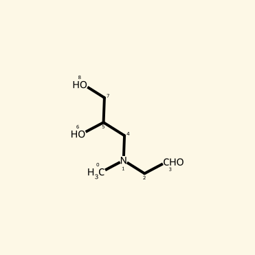 CN(CC=O)CC(O)CO